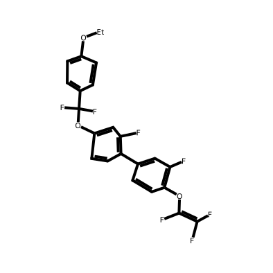 CCOc1ccc(C(F)(F)Oc2ccc(-c3ccc(OC(F)=C(F)F)c(F)c3)c(F)c2)cc1